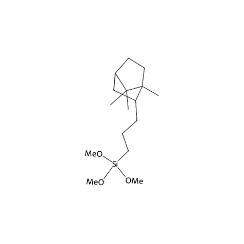 CO[Si](CCCC1CC2CCC1(C)C2(C)C)(OC)OC